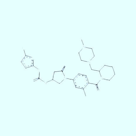 Cc1cc(N2CC(NC(=O)Oc3ccc(Br)s3)CC2=O)ccc1C(=O)N1CCCCC1CN1CCN(C)CC1